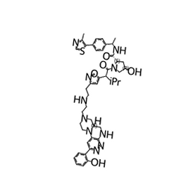 Cc1ncsc1-c1ccc(C(C)NC(=O)[C@@H]2C[C@@H](O)CN2C(=O)C(c2cc(CCNCCN3CCN4c5cc(-c6ccccc6O)nnc5NC[C@H]4C3)no2)C(C)C)cc1